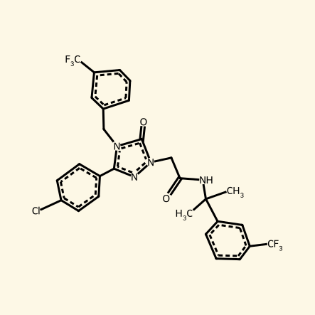 CC(C)(NC(=O)Cn1nc(-c2ccc(Cl)cc2)n(Cc2cccc(C(F)(F)F)c2)c1=O)c1cccc(C(F)(F)F)c1